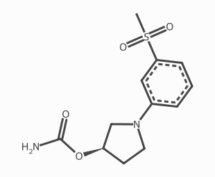 CS(=O)(=O)c1cccc(N2CC[C@@H](OC(N)=O)C2)c1